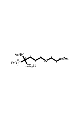 CCCCCCCCCCCCSCCCC(NC(C)=O)(C(=O)OCC)C(=O)OCC